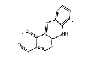 O=Nc1ccc2[nH]c3ccccc3cc-2c1=O